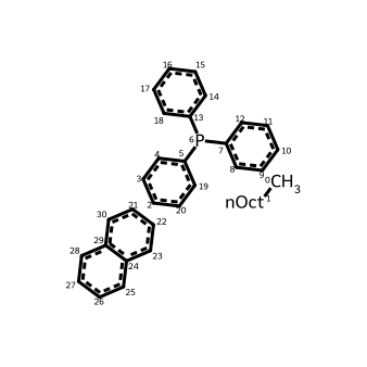 CCCCCCCCC.c1ccc(P(c2ccccc2)c2ccccc2)cc1.c1ccc2ccccc2c1